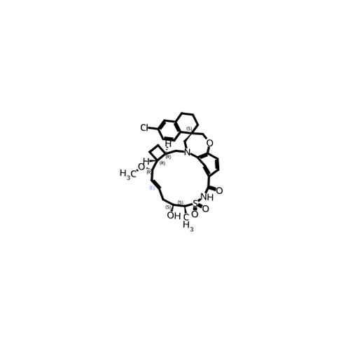 CO[C@H]1/C=C/C[C@H](O)[C@H](C)S(=O)(=O)NC(=O)c2ccc3c(c2)N(C[C@@H]2CC[C@H]21)C[C@@]1(CCCc2cc(Cl)ccc21)CO3